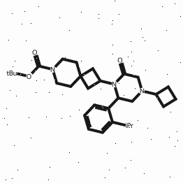 CC(C)c1ccccc1C1CN(C2CCC2)CC(=O)N1C1CC2(CCN(C(=O)OC(C)(C)C)CC2)C1